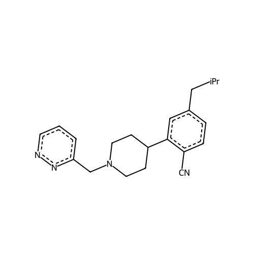 CC(C)Cc1ccc(C#N)c(C2CCN(Cc3cccnn3)CC2)c1